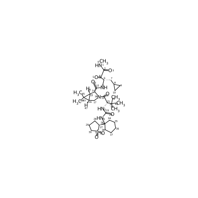 CNC(=O)C(=O)[C@H](CC1CC1)NC(=O)[C@@H]1[C@@H]2[C@H](CN1C(=O)[C@@H](NC(=O)NC1([C@@H]3CCCS3(=O)=O)CCCCC1)C(C)(C)C)C2(C)C